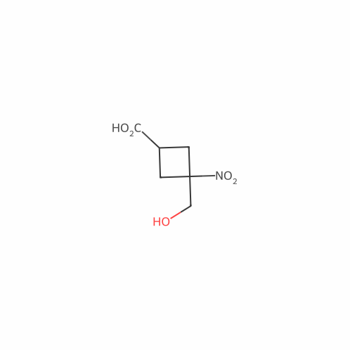 O=C(O)C1CC(CO)([N+](=O)[O-])C1